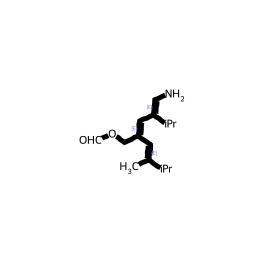 C\C(=C/C(=C\C(=C\N)C(C)C)COC=O)C(C)C